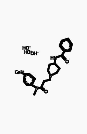 CN(C(=O)CCN1CCC(NC(=O)c2ccccc2)CC1)c1cc[c]([Ge+3])cc1.[OH-].[OH-].[OH-]